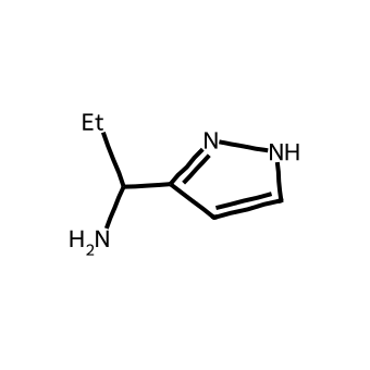 CCC(N)c1cc[nH]n1